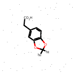 [2H]C1([2H])Oc2ccc(CC(=O)O)cc2O1